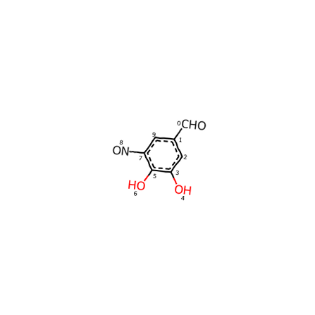 O=Cc1cc(O)c(O)c(N=O)c1